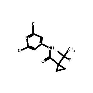 CC(F)(F)C1(C(=O)Nc2cc(Cl)nc(Cl)c2)CC1